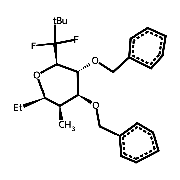 CC[C@H]1O[C@@H](C(F)(F)C(C)(C)C)[C@H](OCc2ccccc2)[C@@H](OCc2ccccc2)[C@H]1C